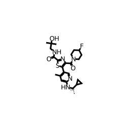 Cc1cc(N[C@@H](C)C2CC2)ncc1-c1sc(C(=O)NCC(C)(C)O)nc1C(=O)N1CCC(F)CC1